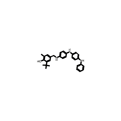 Cc1cc(CNc2ccc(Nc3ccc(Nc4ccccc4)cc3)cc2)cc(C(C)(C)C)c1O